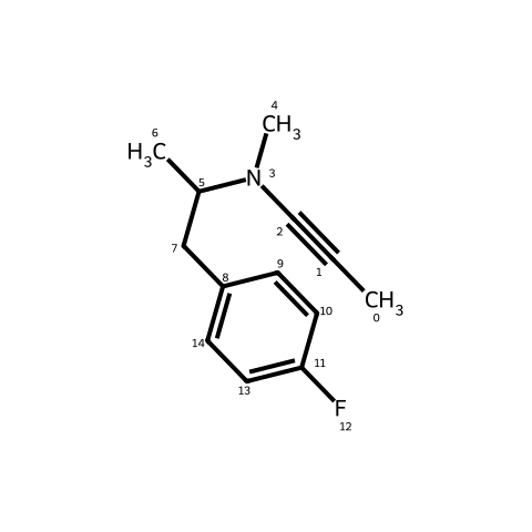 CC#CN(C)C(C)Cc1ccc(F)cc1